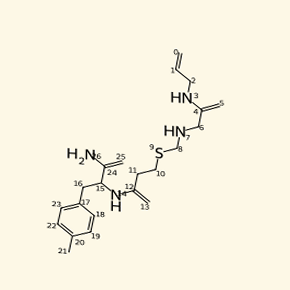 C=CCNC(=C)CNCSCCC(=C)NC(Cc1ccc(C)cc1)C(=C)N